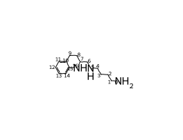 NCCCCNCC1CCc2ccccc2N1